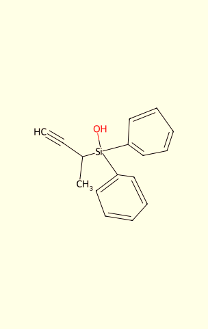 C#CC(C)[Si](O)(c1ccccc1)c1ccccc1